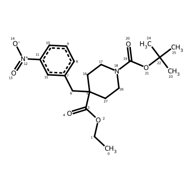 CCOC(=O)C1(Cc2cccc([N+](=O)[O-])c2)CCN(C(=O)OC(C)(C)C)CC1